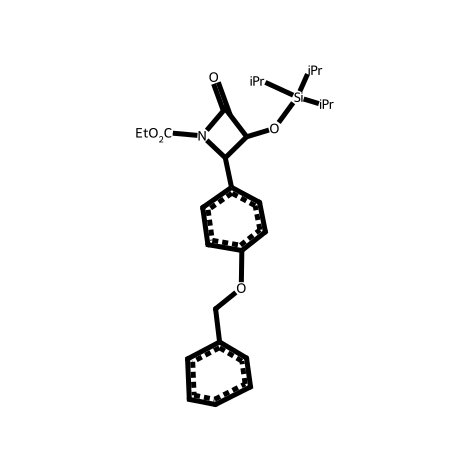 CCOC(=O)N1C(=O)C(O[Si](C(C)C)(C(C)C)C(C)C)C1c1ccc(OCc2ccccc2)cc1